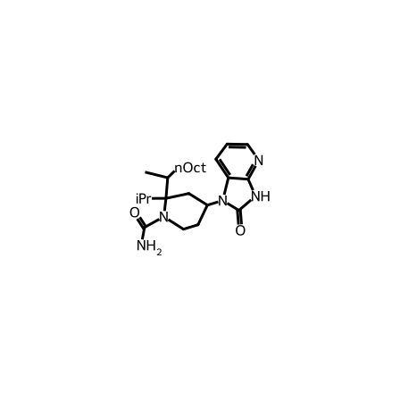 CCCCCCCCC(C)C1(C(C)C)CC(n2c(=O)[nH]c3ncccc32)CCN1C(N)=O